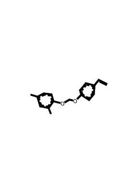 C=Cc1ccc(OCOc2ccc(C)cc2C)cc1